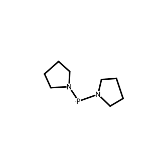 C1CCN([P]N2CCCC2)C1